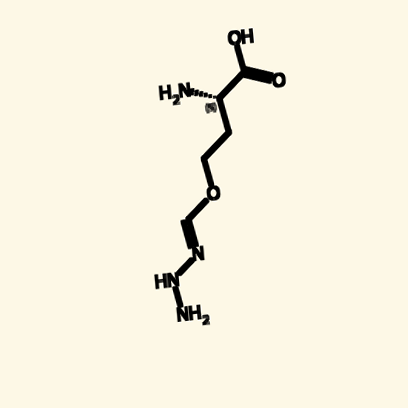 NNN=COCC[C@H](N)C(=O)O